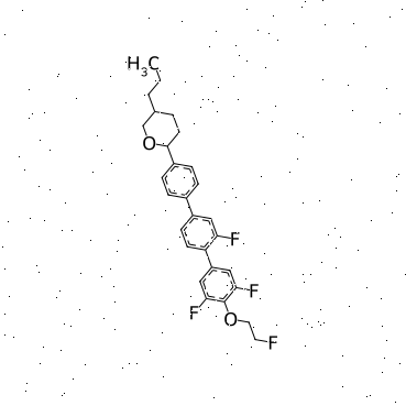 CCCC1CCC(c2ccc(-c3ccc(-c4cc(F)c(OCCF)c(F)c4)c(F)c3)cc2)OC1